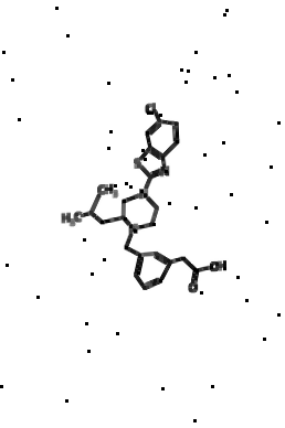 CC(C)CC1CN(c2nc3ccc(Cl)cc3s2)CCN1Cc1cccc(CC(=O)O)c1